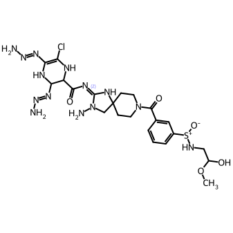 COC(O)CN[S+]([O-])c1cccc(C(=O)N2CCC3(CC2)CN(N)/C(=N\C(=O)C2NC(Cl)=C(N=NN)NC2N=NN)N3)c1